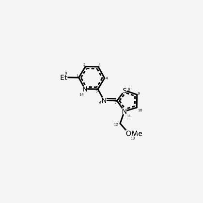 CCc1cccc(/N=c2\sccn2COC)n1